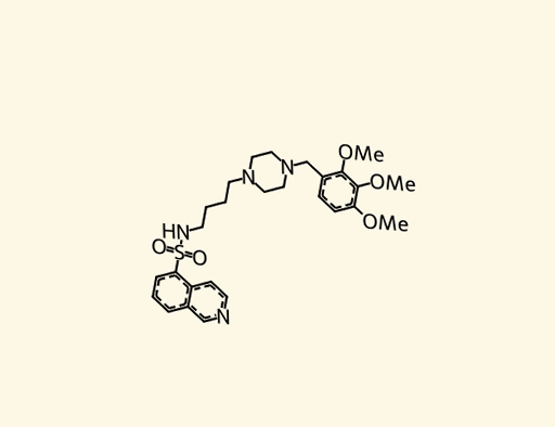 COc1ccc(CN2CCN(CCCCNS(=O)(=O)c3cccc4cnccc34)CC2)c(OC)c1OC